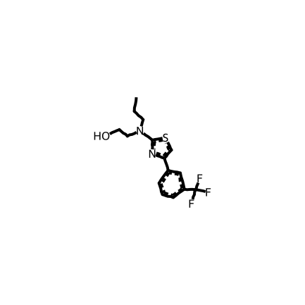 CCCN(CCO)c1nc(-c2cccc(C(F)(F)F)c2)cs1